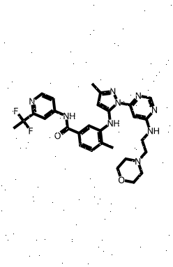 Cc1cc(Nc2cc(C(=O)Nc3ccnc(C(C)(F)F)c3)ccc2C)n(-c2cc(NCCN3CCOCC3)ncn2)n1